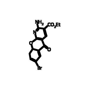 CCOC(=O)c1cc2c(nc1N)OC1CC=C(Br)C=C1C2=O